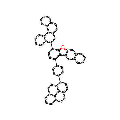 c1ccc2cc3c(cc2c1)oc1c(-c2cc4ccc5ccccc5c4c4ccccc24)ccc(-c2ccc(-c4ccc5ccc6cccc7ccc4c5c67)cc2)c13